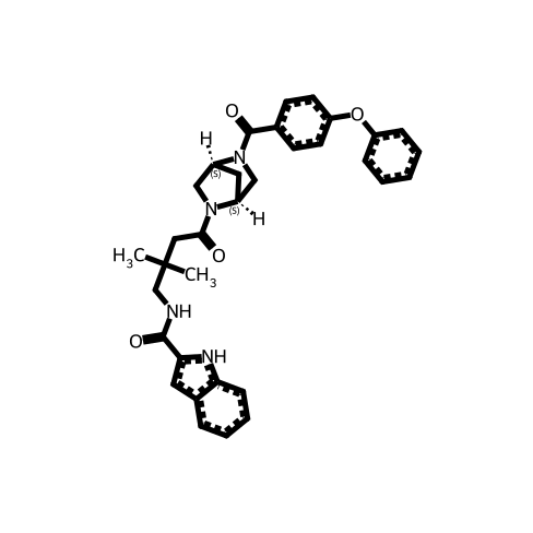 CC(C)(CNC(=O)c1cc2ccccc2[nH]1)CC(=O)N1C[C@@H]2C[C@H]1CN2C(=O)c1ccc(Oc2ccccc2)cc1